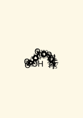 O=C(c1ccc(C2(O)CS(=O)(=O)C2)cc1)N1CCC(Oc2ccc(C(F)(F)F)cn2)CC1